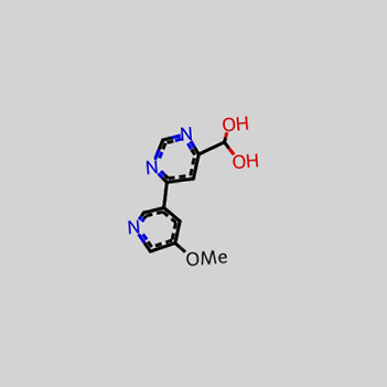 COc1cncc(-c2cc(C(O)O)ncn2)c1